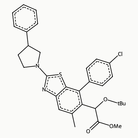 COC(=O)C(OC(C)(C)C)c1c(C)cc2nc(N3CCC(c4ccccc4)C3)sc2c1-c1ccc(Cl)cc1